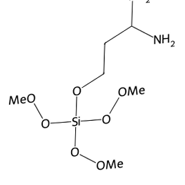 COO[Si](OCCC(N)N)(OOC)OOC